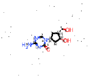 Nc1ncn([C@@H]2C[C@H](CO)[C@@H](O)C2)c(=O)n1